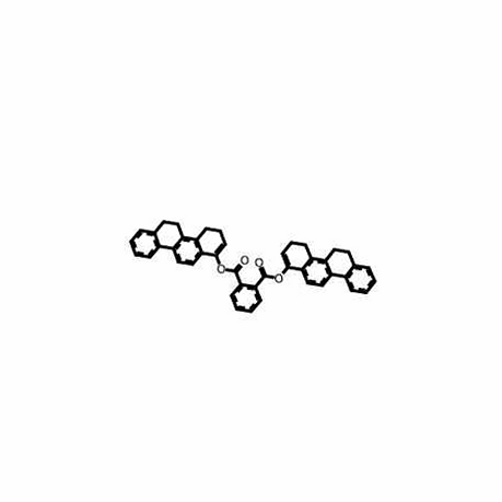 O=C(OC1=CCCc2c1ccc1c2CCc2ccccc2-1)c1ccccc1C(=O)OC1=CCCc2c1ccc1c2CCc2ccccc2-1